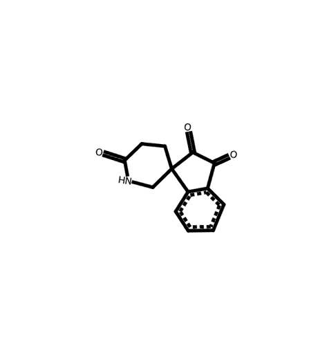 O=C1CCC2(CN1)C(=O)C(=O)c1ccccc12